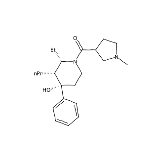 CCC[C@@H]1[C@H](CC)N(C(=O)C2CCN(C)C2)CC[C@@]1(O)c1ccccc1